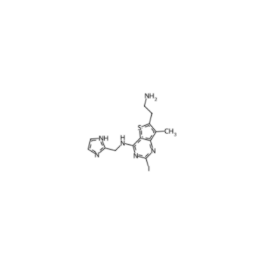 Cc1c(CCN)sc2c(NCc3ncc[nH]3)nc(I)nc12